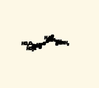 NC(=O)C(CCCCNC(=O)c1ccc(N)cc1)NC(=O)COCCOCCNC(=O)CCC(NC(=O)CCCC(=O)O)C(=O)O